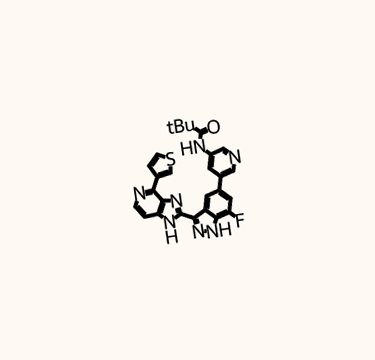 CC(C)(C)C(=O)Nc1cncc(-c2cc(F)c3[nH]nc(-c4nc5c(-c6ccsc6)nccc5[nH]4)c3c2)c1